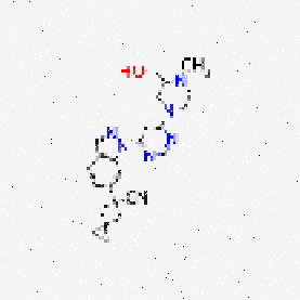 CN1CCN(c2cc(-n3ncc4ccc(C5(C#N)CC6(CC6)C5)cc43)ncn2)CC1CO